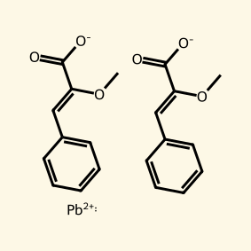 COC(=Cc1ccccc1)C(=O)[O-].COC(=Cc1ccccc1)C(=O)[O-].[Pb+2]